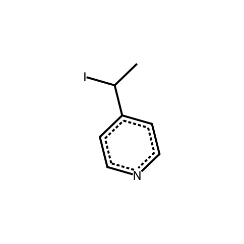 CC(I)c1ccncc1